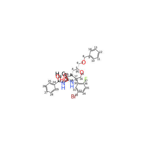 C[C@H](O)[C@@H]1C[C@H](COCc2ccccc2)OC[C@@]1(NC(=O)NC(=O)c1ccccc1)c1cc(Br)ccc1F